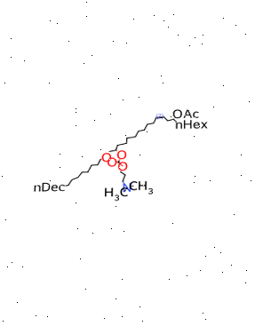 CCCCCCCCCCCCCCCCCCOCC(CCCCCCCC/C=C\CC(CCCCCC)OC(C)=O)OC(=O)OCCCN(C)C